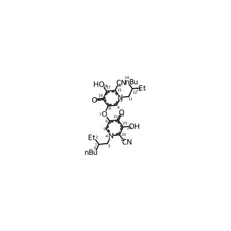 CCCCC(CC)Cn1cc(Oc2cn(CC(CC)CCCC)c(C#N)c(O)c2=O)c(=O)c(O)c1C#N